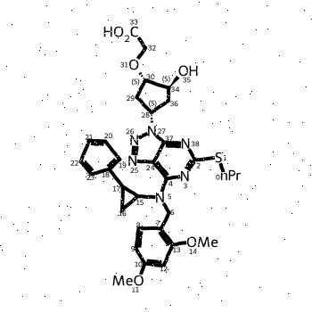 CCCSc1nc(N(Cc2ccc(OC)cc2OC)C2CC2c2ccccc2)c2nnn([C@@H]3C[C@H](OCC(=O)O)[C@@H](O)C3)c2n1